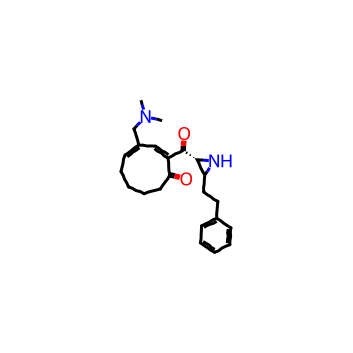 CN(C)CC1=C/CCCCC(=O)/C(C(=O)[C@@H]2NC2CCc2ccccc2)=C\1